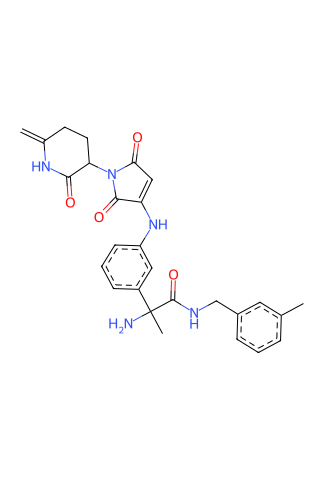 C=C1CCC(N2C(=O)C=C(Nc3cccc(C(C)(N)C(=O)NCc4cccc(C)c4)c3)C2=O)C(=O)N1